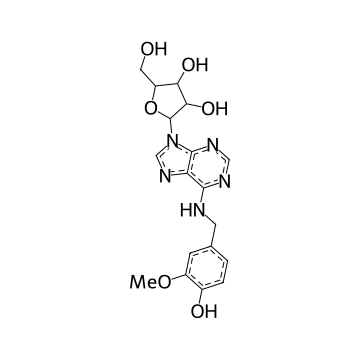 COc1cc(CNc2ncnc3c2ncn3C2OC(CO)C(O)C2O)ccc1O